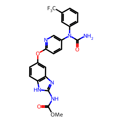 COC(=O)Nc1nc2cc(Oc3ccc(N(C(N)=O)c4cccc(C(F)(F)F)c4)cn3)ccc2[nH]1